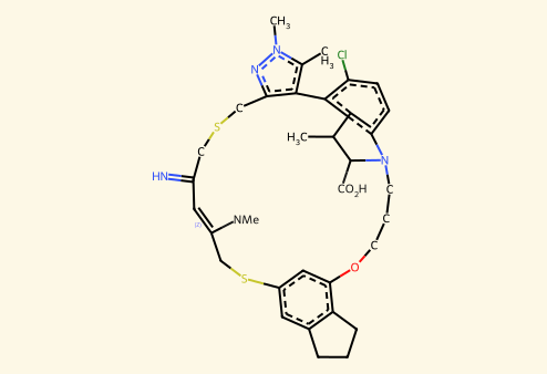 CN/C1=C\C(=N)CSCc2nn(C)c(C)c2-c2c(Cl)ccc3c2C(C)C(C(=O)O)N3CCCOc2cc(cc3c2CCC3)SC1